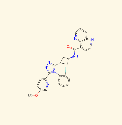 CCOc1ccc(-c2nnc([C@H]3C[C@H](NC(=O)c4ccnc5cccnc45)C3)n2-c2ccccc2F)nc1